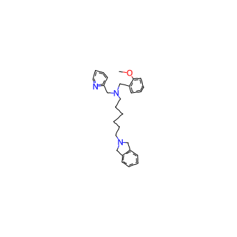 COc1ccccc1CN(CCCCCCN1Cc2ccccc2C1)Cc1ccccn1